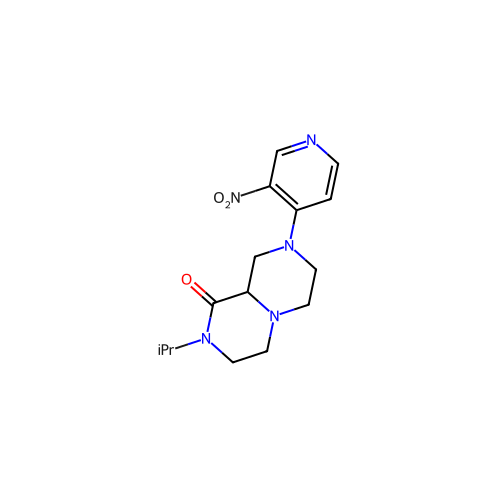 CC(C)N1CCN2CCN(c3ccncc3[N+](=O)[O-])CC2C1=O